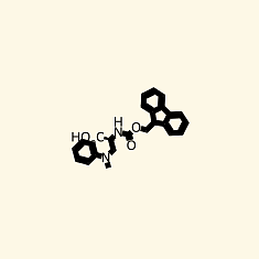 CN(C[C@H](NC(=O)OCC1c2ccccc2-c2ccccc21)C(=O)O)c1ccccc1